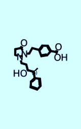 C[C@@H](c1ccccc1)C(O)CCN1CCC(=O)N1CCc1ccc(C(=O)O)cc1